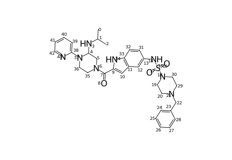 CC(C)NC1CN(C(=O)c2cc3cc(NS(=O)(=O)N4CCN(Cc5ccccc5)CC4)ccc3[nH]2)CCN1c1ccccn1